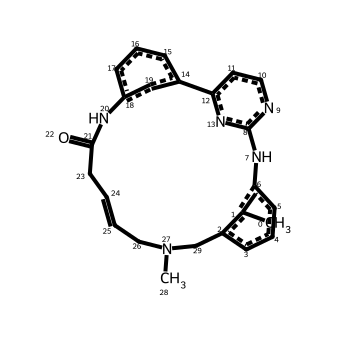 Cc1c2cccc1Nc1nccc(n1)-c1cccc(c1)NC(=O)C/C=C/CN(C)C2